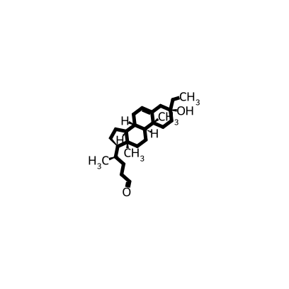 CC[C@]1(O)CC[C@@]2(C)C(=CC[C@H]3[C@@H]4CC[C@H]([C@H](C)CCC=O)[C@@]4(C)CC[C@@H]32)C1